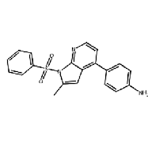 Cc1cc2c(-c3ccc(N)cc3)ccnc2n1S(=O)(=O)c1ccccc1